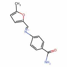 Cc1ccc(/C=N/c2ccc(C(N)=O)cc2)o1